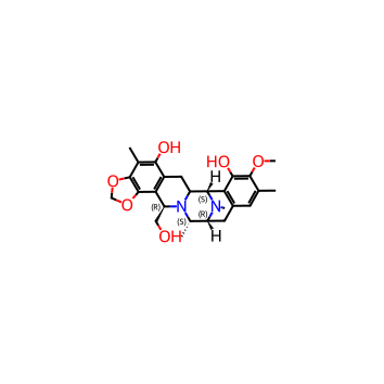 COc1c(C)cc2c(c1O)[C@H]1C3Cc4c(O)c(C)c5c(c4[C@H](CO)N3[C@@H](C)[C@@H](C2)N1C)OCO5